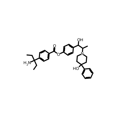 CCC(N)(CC)c1ccc(C(=O)Oc2ccc(C(O)C(C)N3CCC(O)(c4ccccc4)CC3)cc2)cc1